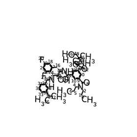 CCCN(CCC)C(=O)c1cc(C(=O)N[C@@H](Cc2cc(F)cc(F)c2)[C@H](O)CNCc2cccc(C(C)C)c2)cc(S(=O)(=O)NC(C)(C)CO)c1